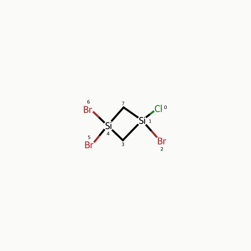 Cl[Si]1(Br)C[Si](Br)(Br)C1